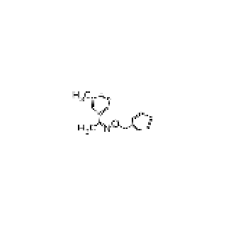 CC(=NOCc1ccccc1)c1cc[c]c(C)c1